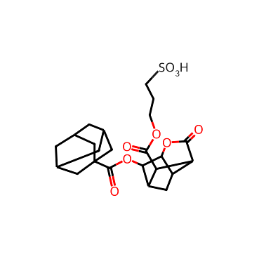 O=C1OC2C3CC(C2OC(=O)C24CC5CC(CC(C5)C2)C4)C(C(=O)OCCCS(=O)(=O)O)C13